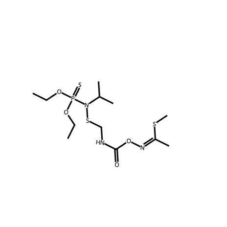 CCOP(=S)(OCC)N(SCNC(=O)ON=C(C)SC)C(C)C